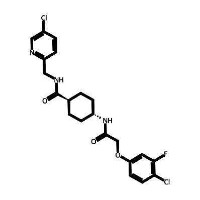 O=C(COc1ccc(Cl)c(F)c1)N[C@H]1CC[C@H](C(=O)NCc2ccc(Cl)cn2)CC1